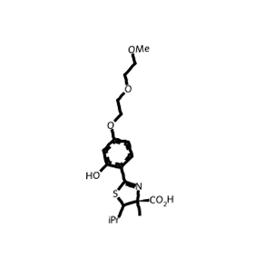 COCCOCCOc1ccc(C2=N[C@@](C)(C(=O)O)C(C(C)C)S2)c(O)c1